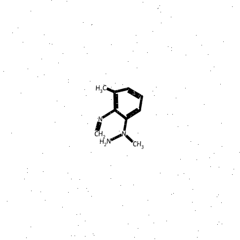 C=Nc1c(C)cccc1N(C)N